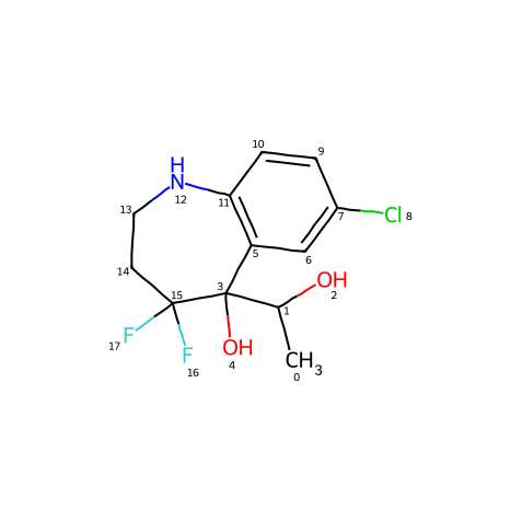 CC(O)C1(O)c2cc(Cl)ccc2NCCC1(F)F